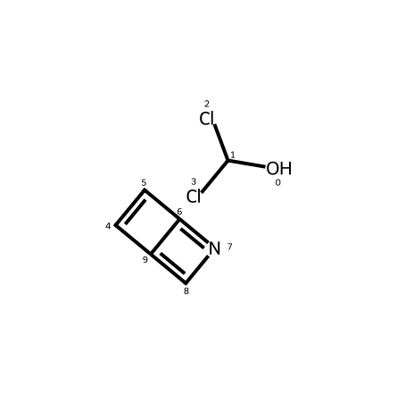 OC(Cl)Cl.c1cc2ncc1-2